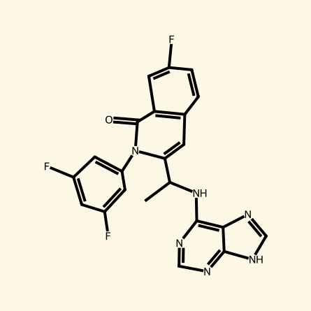 CC(Nc1ncnc2[nH]cnc12)c1cc2ccc(F)cc2c(=O)n1-c1cc(F)cc(F)c1